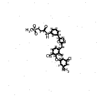 CS(=O)(=O)CCC(=O)Nc1cccc(-c2nnc(Cc3ccc(Cl)c(Oc4cc(N)cc(Cl)c4)c3F)o2)c1